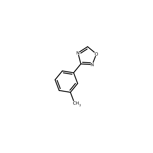 Cc1cccc(-c2ncon2)c1